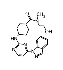 CN(CCO)C(=O)[C@H]1CC[C@H](Nc2nccc(-n3ncc4ccccc43)n2)CC1